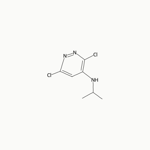 CC(C)Nc1cc(Cl)nnc1Cl